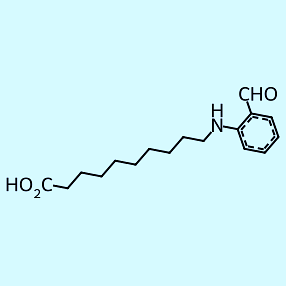 O=Cc1ccccc1NCCCCCCCCCC(=O)O